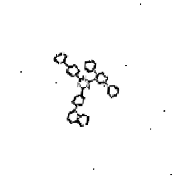 c1ccc(-c2ccc(-c3nc(-c4ccc(-c5cccc6ccccc56)cc4)nc(-c4cc(-c5ccccc5)ccc4-c4ccccc4)n3)cc2)cc1